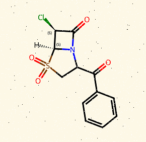 O=C(c1ccccc1)C1CS(=O)(=O)[C@H]2[C@@H](Cl)C(=O)N12